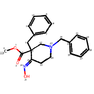 COC(=O)C1(Cc2ccccc2)CN(Cc2ccccc2)CCC1=NO